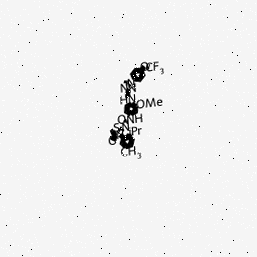 COc1cc(NC(=O)/N=C2\SCC(=O)N2c2cc(C)ccc2C(C)C)ccc1NCc1ncn(-c2ccc(OC(F)(F)F)cc2)n1